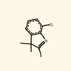 CC1=Nc2c(Cl)cccc2C1(C)C